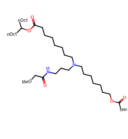 CCCCCCCCCC(=O)OCCCCCCCN(CCCCCCCC(=O)OC(CCCCCCCC)CCCCCCCC)CCCNC(=O)COC